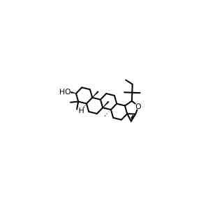 CCC(C)(C)C1OC2=CC23CC[C@]2(C)C(CCC4[C@@]5(C)CC[C@H](O)C(C)(C)[C@@H]5CC[C@]42C)C13